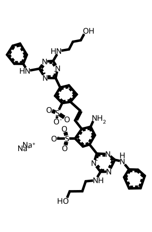 Nc1cc(-c2nc(NCCCO)nc(Nc3ccccc3)n2)cc(S(=O)(=O)[O-])c1C=Cc1ccc(-c2nc(NCCCO)nc(Nc3ccccc3)n2)cc1S(=O)(=O)[O-].[Na+].[Na+]